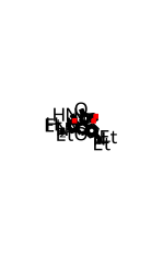 CCN(CC)c1ccc2c(c1)Oc1cc(N(CC)CC)ccc1C21c2ccccc2C(=O)N1C(=N)N